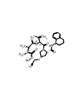 C#CCO[C@H]1C[C@@H](C(=O)N[C@@H]2CCCc3ccccc32)N(C(=O)[C@@H](NC(=O)[C@H](C)N(C)C(=O)OC(C)(C)C)C(=C)C)C1